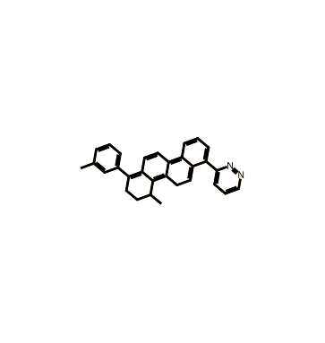 Cc1cccc(C2=c3ccc4c(c3C(C)CC2)CC=c2c(-c3cccnn3)cccc2=4)c1